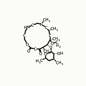 CO[C@]1(C)C[C@@H](C)CN(C)CCNCCCOC(=O)CC(=O)[C@H](C)[C@H]1O[C@@H]1O[C@H](C)C[C@H](C)[C@H]1O